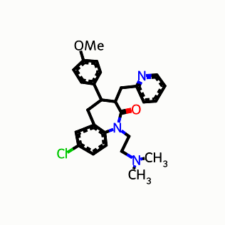 COc1ccc(C2Cc3cc(Cl)ccc3N(CCN(C)C)C(=O)C2Cc2ccccn2)cc1